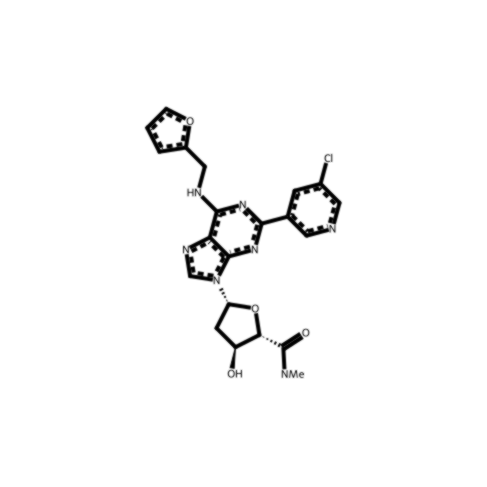 CNC(=O)[C@H]1O[C@@H](n2cnc3c(NCc4ccco4)nc(-c4cncc(Cl)c4)nc32)C[C@@H]1O